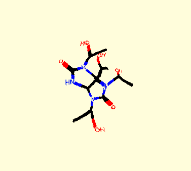 CC(O)N1C(=O)N(C(C)O)C2(C(C)O)C1NC(=O)N2C(C)O